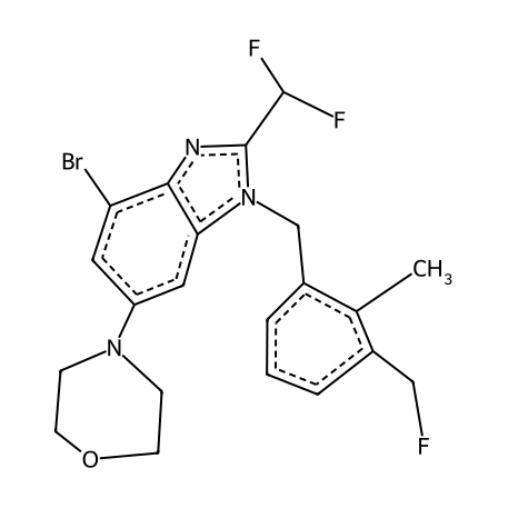 Cc1c(CF)cccc1Cn1c(C(F)F)nc2c(Br)cc(N3CCOCC3)cc21